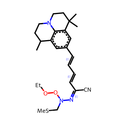 CCOON(CSC)\N=C(C#N)/C=C/C=C/c1cc2c3c(c1)C(C)(C)CCN3CCC2C